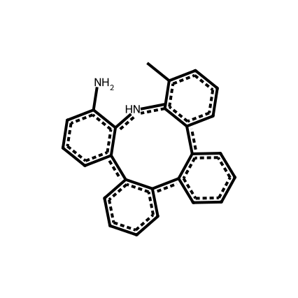 Cc1cccc2c1[nH]c1c(N)cccc1c1ccccc1c1ccccc21